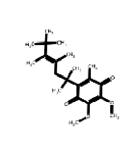 COC1=C(OC)C(=O)C(C(C)(C)C/C(C)=C(\C)C(C)(C)C)=C(C)C1=O